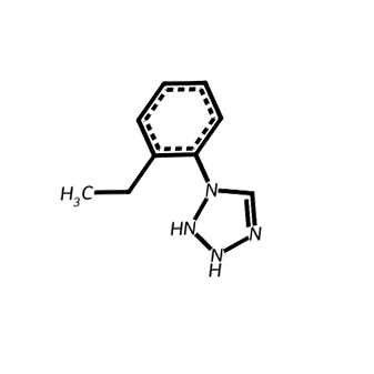 CCc1ccccc1N1C=NNN1